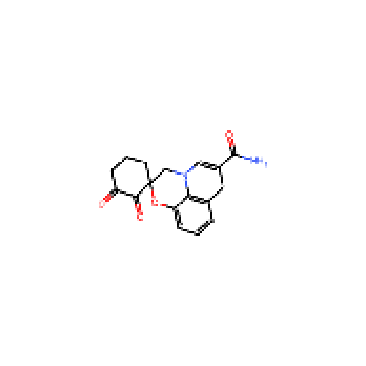 NC(=O)C1=CN2CC3(CCCC(=O)C3=O)Oc3cccc(c32)C1